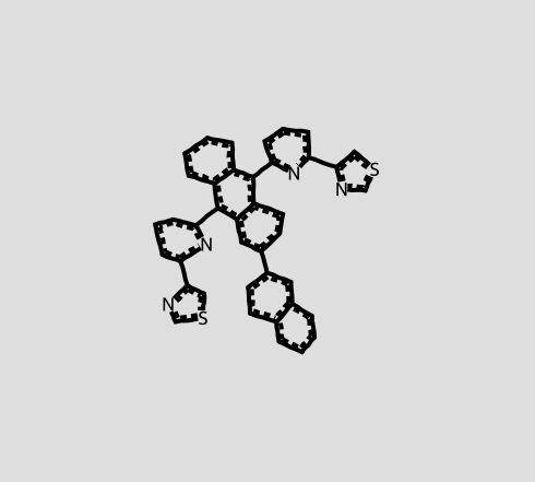 c1cc(-c2cscn2)nc(-c2c3ccccc3c(-c3cccc(-c4cscn4)n3)c3cc(-c4ccc5ccccc5c4)ccc23)c1